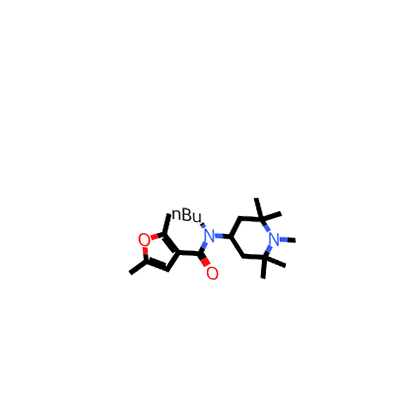 CCCCN(C(=O)c1cc(C)oc1C)C1CC(C)(C)N(C)C(C)(C)C1